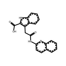 O=C(Cc1c(C(=O)O)[nH]c2ccccc12)Nc1ccc2ccccc2n1